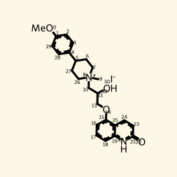 COc1ccc(C2CC[N+](C)(CC(O)COc3cccc4[nH]c(=O)ccc34)CC2)cc1.[I-]